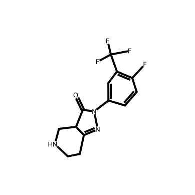 O=C1C2CNCCC2=NN1c1ccc(F)c(C(F)(F)F)c1